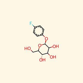 OCC1O[C@@H](Oc2ccc(F)cc2)C(O)C(O)[C@@H]1O